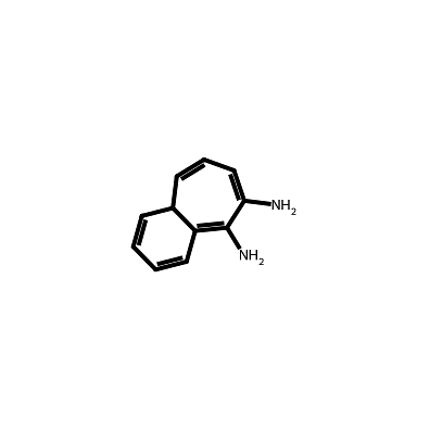 NC1=CC=CC2C=CC=CC2=C1N